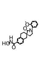 COc1ccccc1N1CC[C@@]2(CCc3cc(C(=O)NO)ccc3C2)C1=O